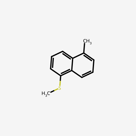 CSc1cccc2c(C)cccc12